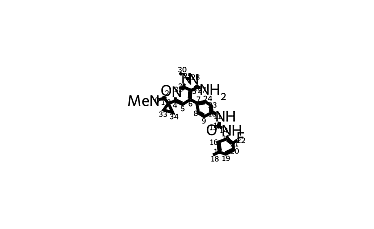 CNC(=O)C1(c2cc(-c3ccc(NC(=O)Nc4cc(C)ccc4F)cc3)c3c(N)nn(C)c3n2)CC1